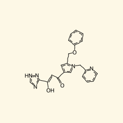 O=C(C=C(O)c1nc[nH]n1)c1cc(COc2ccccc2)n(Cc2ccccn2)c1